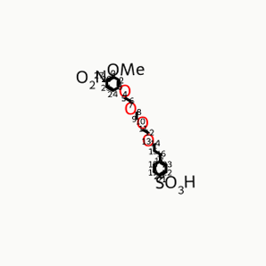 COc1cc(OCCOCCOCCOCCCc2ccc(S(=O)(=O)O)cc2)ccc1[N+](=O)[O-]